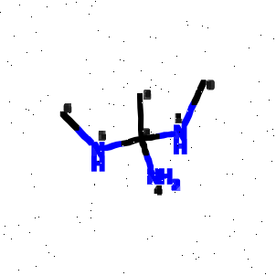 CNC(C)(N)NC